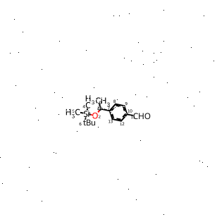 C[C@H](O[Si](C)(C)C(C)(C)C)c1ccc(C=O)cc1